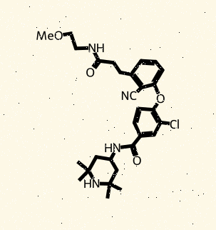 COCCNC(=O)CCc1cccc(Oc2ccc(C(=O)NC3CC(C)(C)NC(C)(C)C3)cc2Cl)c1C#N